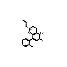 CNC[C@H]1CCc2cc(F)cc(-c3ccccc3C)c2O1.Cl